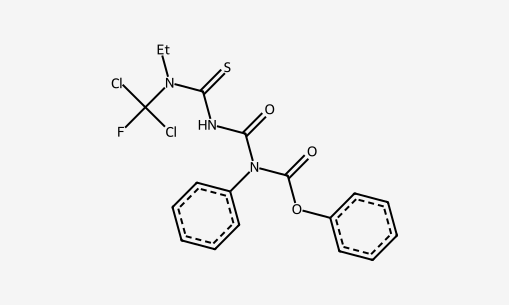 CCN(C(=S)NC(=O)N(C(=O)Oc1ccccc1)c1ccccc1)C(F)(Cl)Cl